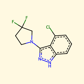 FC1(F)CCN(c2n[nH]c3cccc(Cl)c23)C1